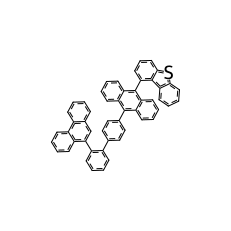 c1ccc(-c2cc3ccccc3c3ccccc23)c(-c2ccc(-c3c4ccccc4c(-c4cccc5sc6ccccc6c45)c4ccccc34)cc2)c1